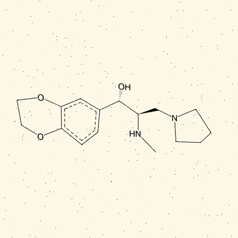 CN[C@H](CN1CCCC1)[C@@H](O)c1ccc2c(c1)OCCO2